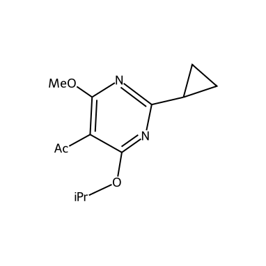 COc1nc(C2CC2)nc(OC(C)C)c1C(C)=O